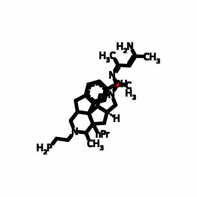 CCCC12C[C@@H]3CN(C(C)/N=C(C)\C=C(\C)N)CC3C13c1cc(O)ccc1CC3CN(CCP)C2C